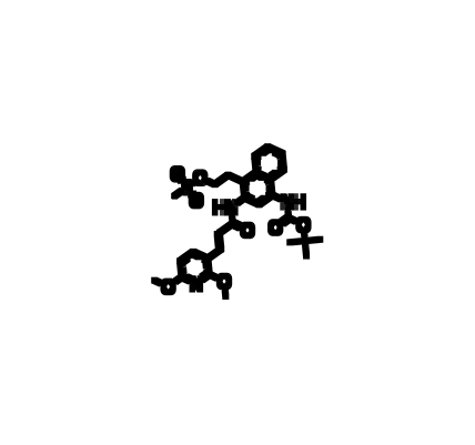 COc1ccc(C=CC(=O)Nc2cc(NC(=O)OC(C)(C)C)c3ccccc3c2CCOS(C)(=O)=O)c(OC)n1